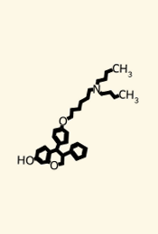 CCCCN(CCCC)CCCCCCOc1ccc(C2c3ccc(O)cc3OCC2c2ccccc2)cc1